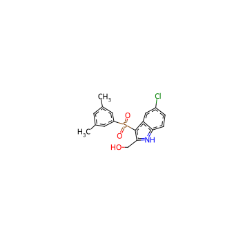 Cc1cc(C)cc(S(=O)(=O)c2c(CO)[nH]c3ccc(Cl)cc23)c1